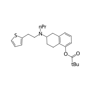 CCCN(CCc1cccs1)C1CCc2c(cccc2OC(=O)C(C)(C)C)C1